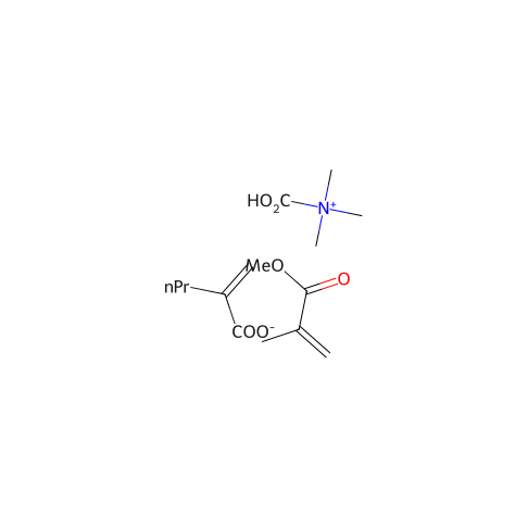 C=C(C)C(=O)OC.C=C(CCC)C(=O)[O-].C[N+](C)(C)C(=O)O